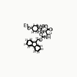 CCO[C@H]1CC[C@@H](C(=O)N[C@H](C(=O)OC)[C@@H](C)NC(=O)OCC2c3ccccc3-c3ccccc32)CC1